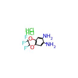 Cl.Cl.Nc1cc2c(cc1N)OC(F)(F)C(F)O2